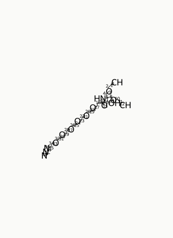 C#CCOCC(CO)(COCC#C)NC(=O)CCOCCOCCOCCOCCOCCOCCN=[N+]=[N-]